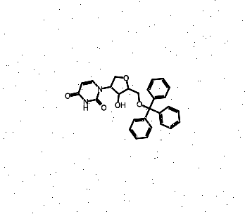 O=c1ccn(C2COC(COC(c3ccccc3)(c3ccccc3)c3ccccc3)C2O)c(=O)[nH]1